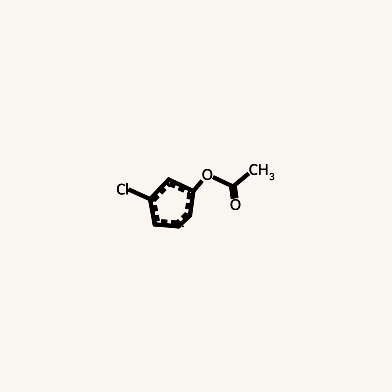 CC(=O)Oc1c[c]cc(Cl)c1